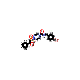 O=C(CS(=O)(=O)N1CCN(C(=O)/C=C/c2ccc(Br)cc2F)CC1)c1ccccc1